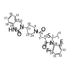 CCC1SC(CC(=O)N2CCC(N3Cc4ccccc4NC3=O)CC2)C(=O)N1c1c(F)cccc1F